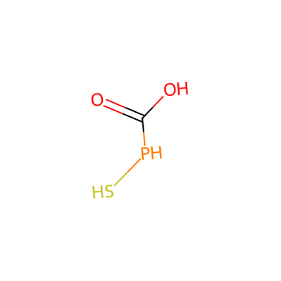 O=C(O)PS